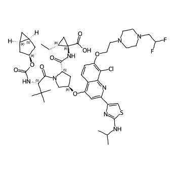 CC[C@@H]1C[C@]1(NC(=O)[C@@H]1C[C@@H](Oc2cc(-c3csc(NC(C)C)n3)nc3c(Cl)c(OCCN4CCN(CC(F)F)CC4)ccc23)CN1C(=O)[C@@H](NC(=O)O[C@@H]1C[C@@H]2C[C@@H]2C1)C(C)(C)C)C(=O)O